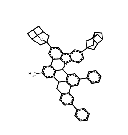 Cc1cc2c3c(c1)C1Cc4ccc(-c5ccccc5)cc4-c4cc(-c5ccccc5)cc(c41)B3n1c3ccc(C45CC6CC7CC6(C4)C7C5)cc3c3cc(C45CC6CC7CC(C4)C76C5)cc-2c31